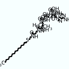 CCCCCCCCCCCCCCC=CSCCNC(=O)CCNC(=O)[C@H](O)C(C)(C)COP(=O)(O)OP(=O)(O)OC[C@H]1O[C@@H](n2cnc3c(N)ncnc32)[C@H](O)[C@@H]1OP(=O)(O)O